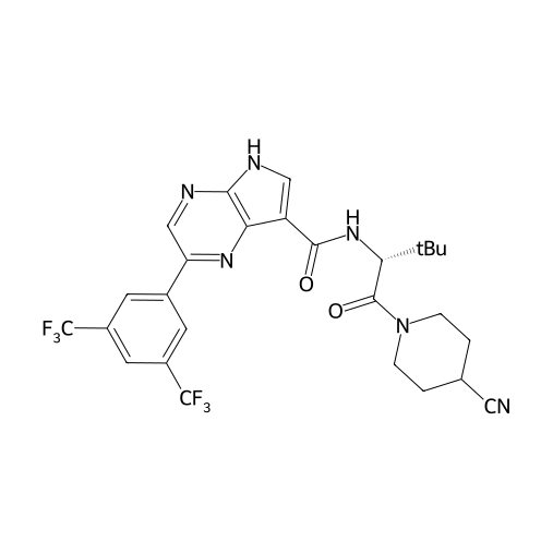 CC(C)(C)[C@@H](NC(=O)c1c[nH]c2ncc(-c3cc(C(F)(F)F)cc(C(F)(F)F)c3)nc12)C(=O)N1CCC(C#N)CC1